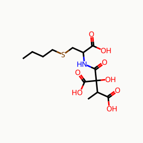 CCCCSCC(NC(=O)C(O)(C(=O)O)C(C)C(=O)O)C(=O)O